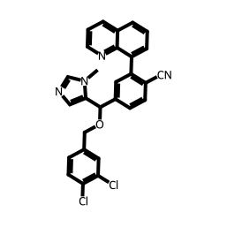 Cn1cncc1C(OCc1ccc(Cl)c(Cl)c1)c1ccc(C#N)c(-c2cccc3cccnc23)c1